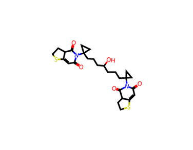 O=C1C=C2SCCC2C(=O)N1C1(CCCC(O)CCCC2(N3C(=O)C=C4SCCC4C3=O)CC2)CC1